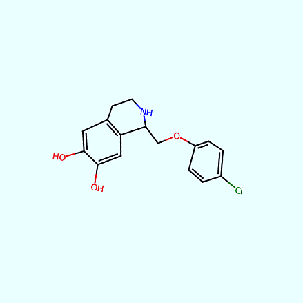 Oc1cc2c(cc1O)C(COc1ccc(Cl)cc1)NCC2